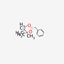 CC1(C)COB(Cc2ccccc2)OC1(C)C